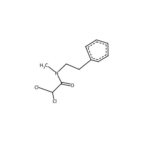 CN(CCc1ccccc1)C(=O)C(Cl)Cl